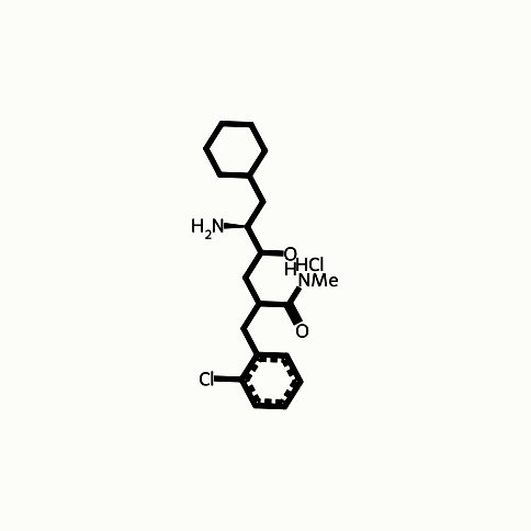 CNC(=O)C(Cc1ccccc1Cl)CC(O)[C@@H](N)CC1CCCCC1.Cl